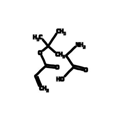 C=CC(=O)OC(C)(C)C.NCC(=O)O